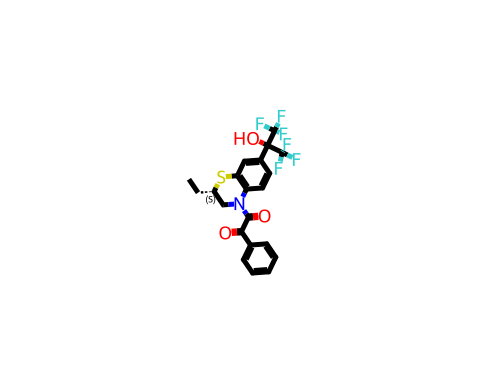 CC[C@H]1CN(C(=O)C(=O)c2ccccc2)c2ccc(C(O)(C(F)(F)F)C(F)(F)F)cc2S1